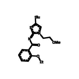 CCOc1ccccc1C(=O)N=c1sc(C(C)(C)C)cn1CCOC